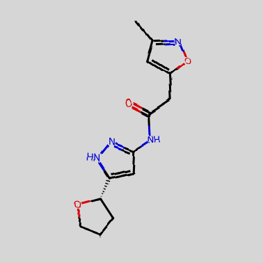 Cc1cc(CC(=O)Nc2cc([C@@H]3C[CH]CO3)[nH]n2)on1